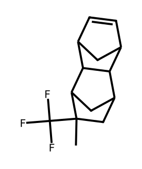 CC1(C(F)(F)F)CC2CC1C1C3C=CC(C3)C21